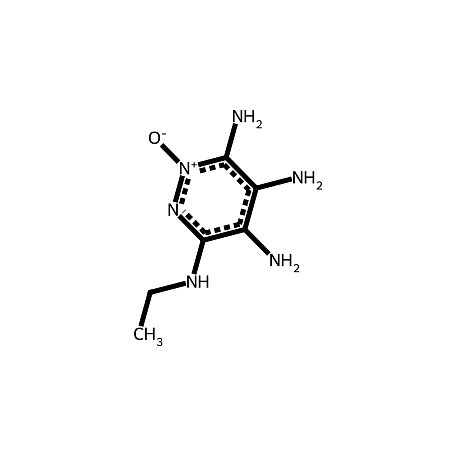 CCNc1n[n+]([O-])c(N)c(N)c1N